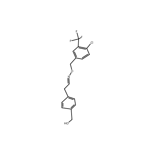 OCc1ccc(CC=NOCc2ccc(Cl)c(C(F)(F)F)c2)cc1